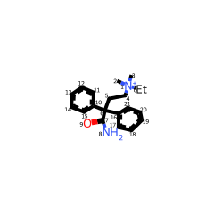 CC[N+](C)(C)CCC(C(N)=O)(c1ccccc1)c1ccccc1